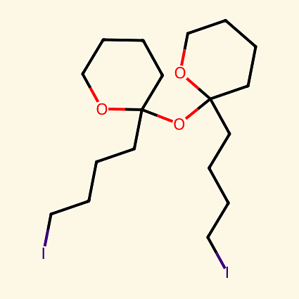 ICCCCC1(OC2(CCCCI)CCCCO2)CCCCO1